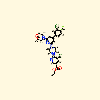 CCOC(=O)c1cnc(N2CCN(c3cc(-c4ccc(F)c(Cl)c4)cc(N4CCOCC4)n3)CC2)c(Cl)c1